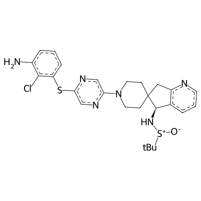 CC(C)(C)[S+]([O-])N[C@@H]1c2cccnc2CC12CCN(c1cnc(Sc3cccc(N)c3Cl)cn1)CC2